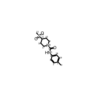 Cc1ccc(NC(=O)N2CCC(S(C)(=O)=O)CC2)cc1